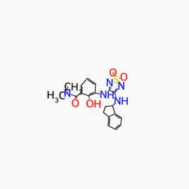 CN(C)C(=O)c1cccc(NC2=NS(=O)(=O)N=C2NC2CCc3ccccc32)c1O